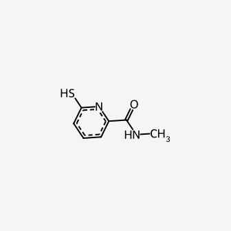 CNC(=O)c1cccc(S)n1